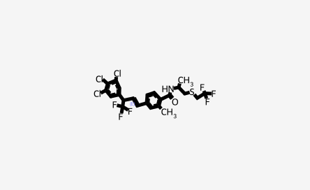 Cc1cc(/C=C/C(c2cc(Cl)c(Cl)c(Cl)c2)C(F)(F)F)ccc1C(=O)NC(C)CSCC(F)(F)F